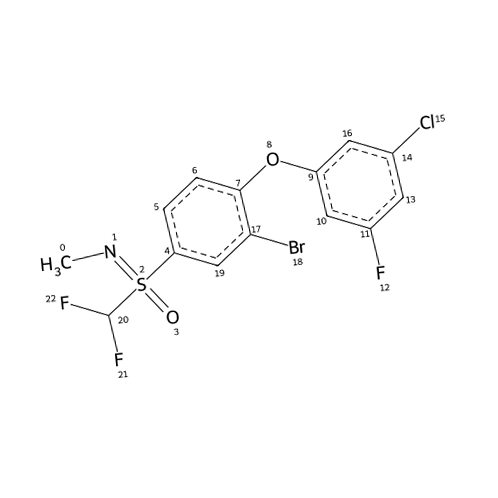 CN=S(=O)(c1ccc(Oc2cc(F)cc(Cl)c2)c(Br)c1)C(F)F